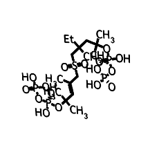 CCC(C)(CC(C)(C)OP(=O)(O)OP(=O)(O)O)CS(=O)(=O)C/C(C)=C/C(C)(C)OP(=O)(O)OP(=O)(O)O